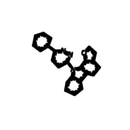 c1ccc(-c2ccc(-n3c4ccccc4c4ccc5ccoc5c43)nn2)cc1